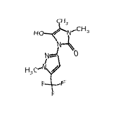 Cc1c(O)n(-c2cc(C(F)(F)F)n(C)n2)c(=O)n1C